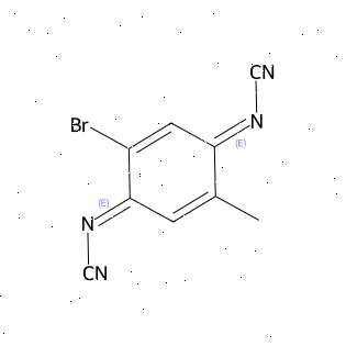 CC1=CC(=N\C#N)/C(Br)=CC/1=N\C#N